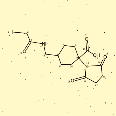 O=C(CI)NCC1CCC(C(=O)O)(N2C(=O)CCC2=O)CC1